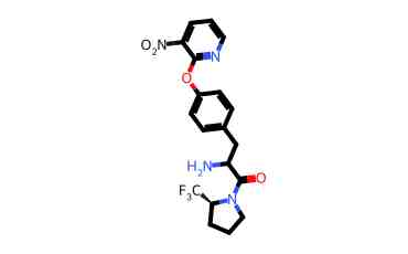 NC(Cc1ccc(Oc2ncccc2[N+](=O)[O-])cc1)C(=O)N1CCC[C@H]1C(F)(F)F